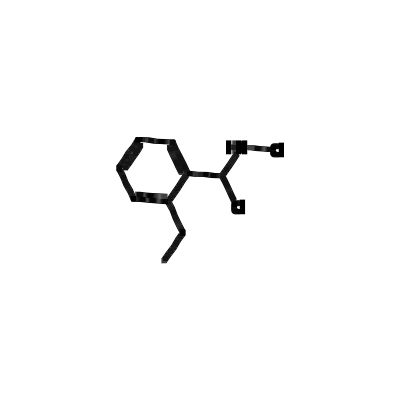 CCc1ccccc1C(Cl)NCl